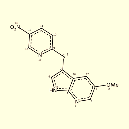 COc1cnc2[nH]cc(Sc3ccc([N+](=O)[O-])cn3)c2c1